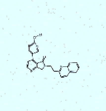 CCOc1ncc(-c2ccnc3c2C(=O)N(CCc2ccc4ccccc4n2)C3)cn1